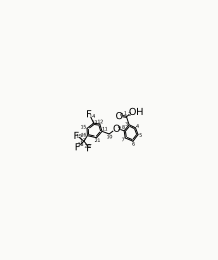 O=C(O)c1ccccc1OCc1cc(F)cc(C(F)(F)F)c1